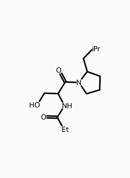 CCC(=O)NC(CO)C(=O)N1CCCC1CC(C)C